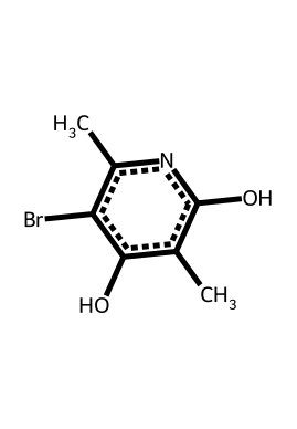 Cc1nc(O)c(C)c(O)c1Br